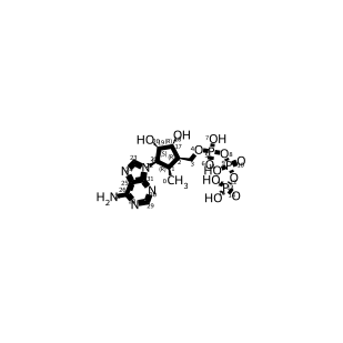 C[C@@H]1[C@H](COP(=O)(O)OP(=O)(O)OP(=O)(O)O)[C@@H](O)[C@@H](O)[C@@H]1n1cnc2c(N)ncnc21